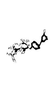 CCOC(=O)[C@H](C)N[C@H](Cc1ccc(-c2cccc(Cl)c2)cc1)C(=O)NC1=NNNN1C